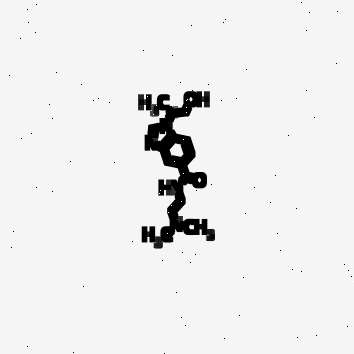 C[C@@H](CO)n1cnc2cc(C(=O)NCCN(C)C)ccc21